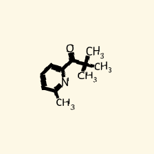 Cc1cccc(C(=O)C(C)(C)C)n1